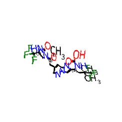 CO[C@@H](Cc1cnn2cc([C@H](CC(C)(C)C(F)(F)F)NC(=O)O)nc2c1)N1C[C@@H](C(F)(F)F)NC1=O